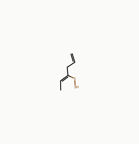 C=CCC(=CC)SS